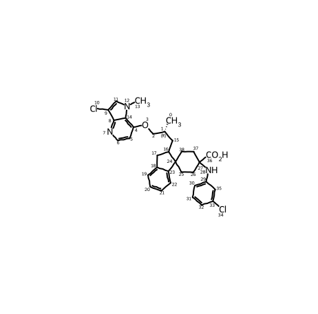 C[C@@H](COc1ccnc2c(Cl)cn(C)c12)CC1Cc2ccccc2C12CCC(Nc1cccc(Cl)c1)(C(=O)O)CC2